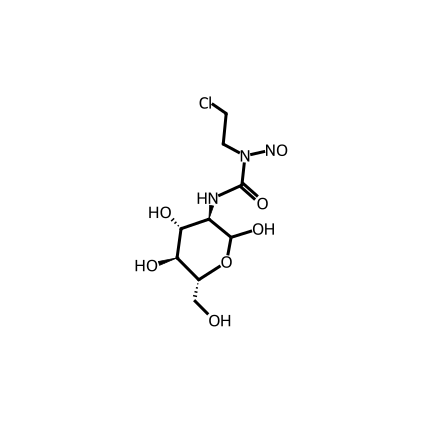 O=NN(CCCl)C(=O)N[C@H]1C(O)O[C@H](CO)[C@@H](O)[C@@H]1O